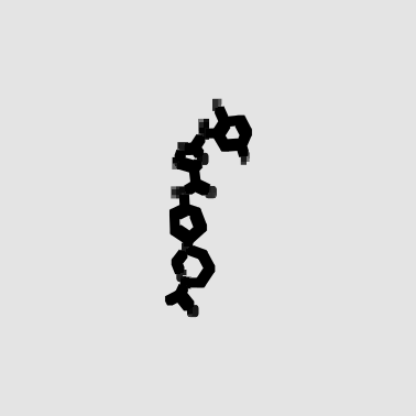 CC(=O)N1CCCN(c2ccc(NC(=O)c3nnc(Nc4cc(F)ccc4F)o3)cc2)CC1